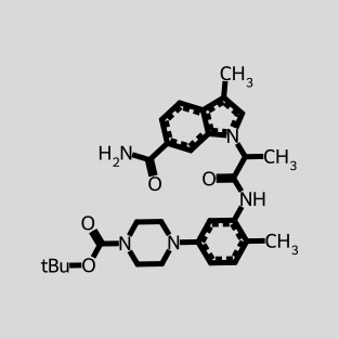 Cc1ccc(N2CCN(C(=O)OC(C)(C)C)CC2)cc1NC(=O)C(C)n1cc(C)c2ccc(C(N)=O)cc21